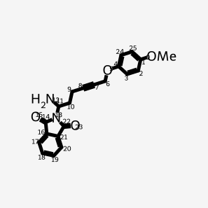 COc1ccc(OCC#CCCC(N)N2C(=O)c3ccccc3C2=O)cc1